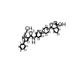 CCCn1nc(-c2ccccc2)cc1C(=O)Nc1ccc(N2CCN(C(=O)C3CCCC3C(=O)O)CC2)nc1